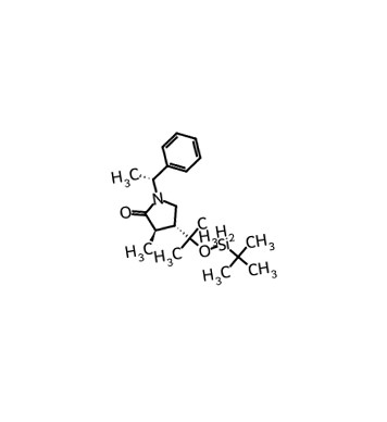 C[C@H](c1ccccc1)N1C[C@H](C(C)(C)O[SiH2]C(C)(C)C)[C@@H](C)C1=O